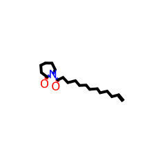 C=CCCCCCCCCCCC(=O)N1CCCCCC1=O